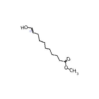 COC(=O)CCCCCCCC/C=C/O